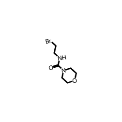 O=C(NCCBr)N1CCOCC1